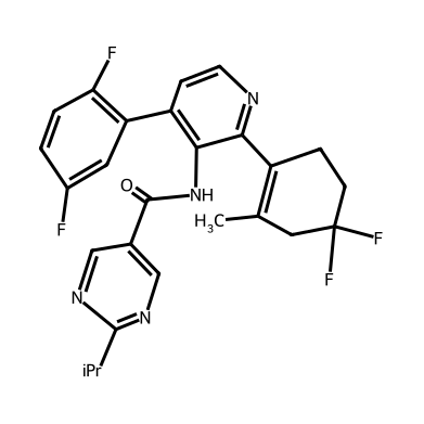 CC1=C(c2nccc(-c3cc(F)ccc3F)c2NC(=O)c2cnc(C(C)C)nc2)CCC(F)(F)C1